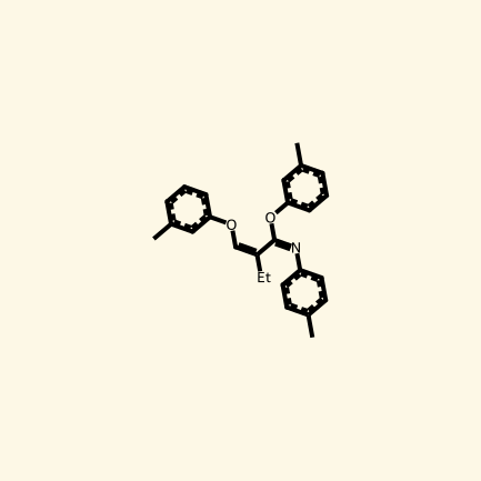 CCC(=COc1cccc(C)c1)C(=Nc1ccc(C)cc1)Oc1cccc(C)c1